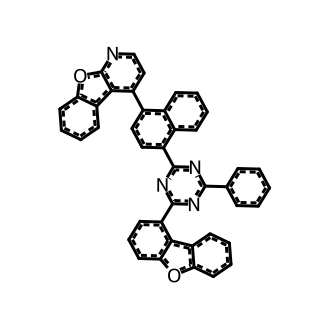 c1ccc(-c2nc(-c3ccc(-c4ccnc5oc6ccccc6c45)c4ccccc34)nc(-c3cccc4oc5ccccc5c34)n2)cc1